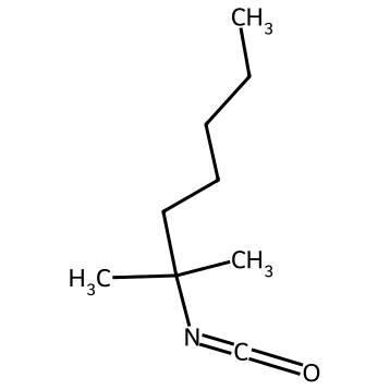 CCCCCC(C)(C)N=C=O